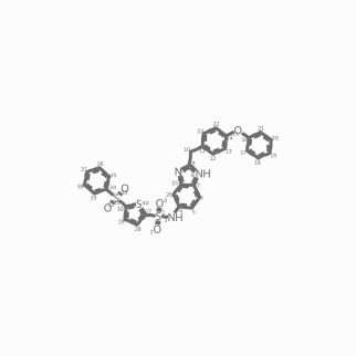 O=S(=O)(Nc1ccc2[nH]c(Cc3ccc(Oc4ccccc4)cc3)nc2c1)c1ccc(S(=O)(=O)c2ccccc2)s1